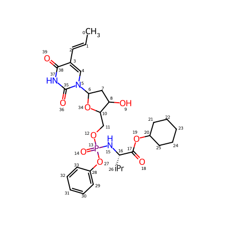 C/C=C/c1cn(C2CC(O)C(COP(=O)(N[C@H](C(=O)OC3CCCCC3)C(C)C)Oc3ccccc3)O2)c(=O)[nH]c1=O